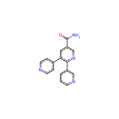 NC(=O)c1cnc(-c2cccnc2)c(-c2ccncc2)c1